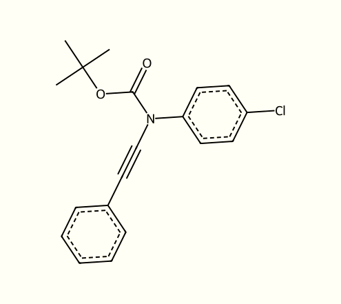 CC(C)(C)OC(=O)N(C#Cc1ccccc1)c1ccc(Cl)cc1